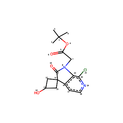 CC(C)(C)OC(=O)CN1C(=O)C2(CC(O)C2)c2ccnc(Cl)c21